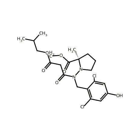 COC(=O)[C@@]1(C)CCCN1N(Cc1c(Cl)cc(O)cc1Cl)C(=O)CC(=O)OCC(C)C